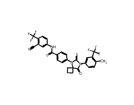 Cc1ccc(N2C(=O)C3(CCC3)N(c3ccc(C(=O)Nc4ccc(C(F)(F)F)c(C#N)c4)cc3)C2=S)cc1C(F)(F)F